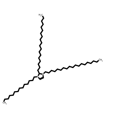 CCCCCCCCCCCCCCCCCCCC1N(CCCCCCCCCCCCCC)C=CN1CCCCCCCCCCCCCCCCCCC